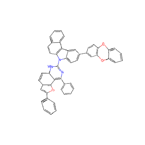 C1=CC2NC(n3c4ccc(-c5ccc6c(c5)Oc5ccccc5O6)cc4c4c5ccccc5ccc43)=NC(c3ccccc3)=C2c2oc(-c3ccccc3)cc21